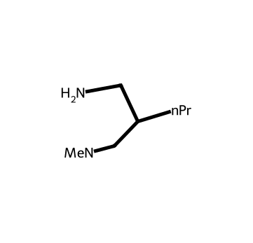 CCCC(CN)CNC